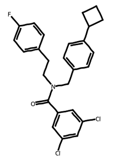 O=C(c1cc(Cl)cc(Cl)c1)N(CCc1ccc(F)cc1)Cc1ccc(C2CCC2)cc1